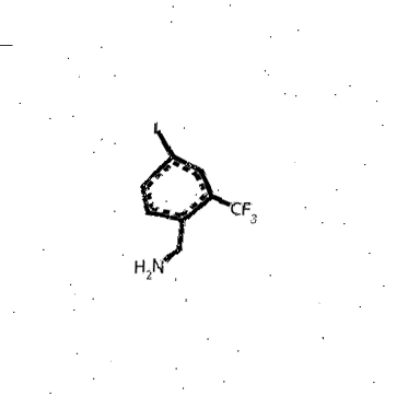 NCc1ccc(I)cc1C(F)(F)F